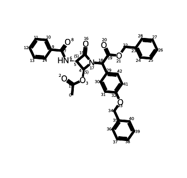 CC(=O)O[C@H]1[C@H](NC(=O)c2ccccc2)C(=O)N1C(C(=O)OCc1ccccc1)c1ccc(OCc2ccccc2)cc1